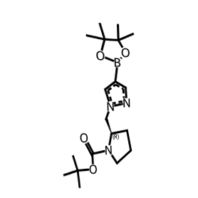 CC(C)(C)OC(=O)N1CCC[C@@H]1Cn1cc(B2OC(C)(C)C(C)(C)O2)cn1